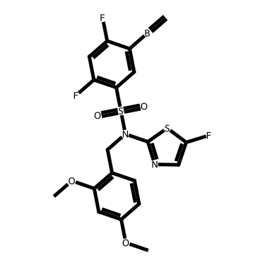 C=Bc1cc(S(=O)(=O)N(Cc2ccc(OC)cc2OC)c2ncc(F)s2)c(F)cc1F